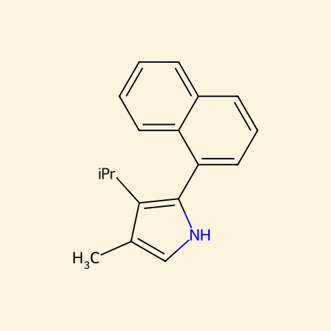 Cc1c[nH]c(-c2cccc3ccccc23)c1C(C)C